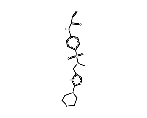 C=CC(=O)Nc1ccc(S(=O)(=O)N(C)Cc2csc(N3CCOCC3)n2)cc1